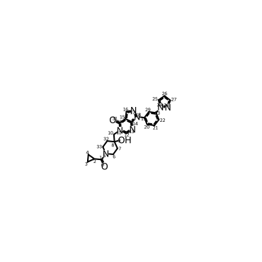 O=C(C1CC1)N1CCC(O)(Cn2cnc3c(cnn3-c3cccc(-n4cccn4)c3)c2=O)CC1